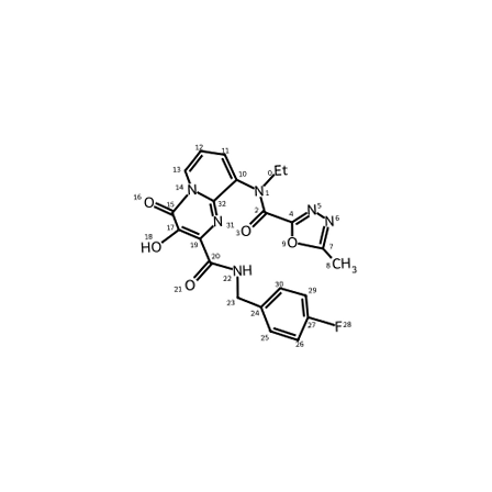 CCN(C(=O)c1nnc(C)o1)c1cccn2c(=O)c(O)c(C(=O)NCc3ccc(F)cc3)nc12